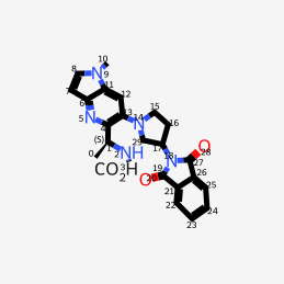 C[C@H](NC(=O)O)c1nc2ccn(C)c2cc1N1CCC(N2C(=O)c3ccccc3C2=O)C1